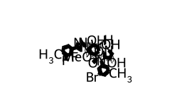 CO[C@@H]1[C@@H](n2cc(-c3ccc(C)c(F)c3F)nn2)[C@@H](O)[C@@H](CO)O[C@H]1C(=O)N(c1cc(C)cc(Br)c1)[C@H]1CNC[C@@H]1O